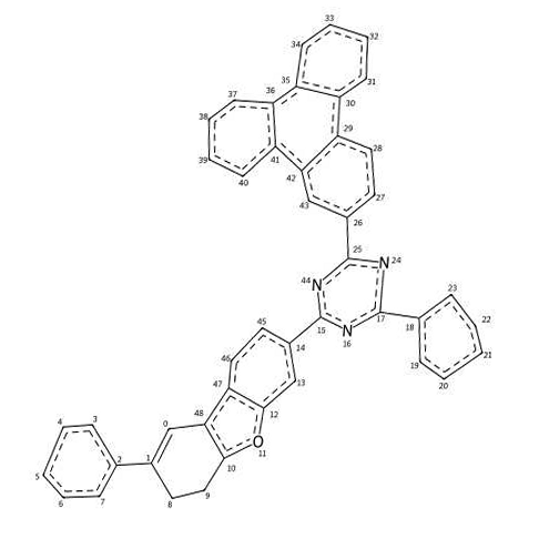 C1=C(c2ccccc2)CCc2oc3cc(-c4nc(-c5ccccc5)nc(-c5ccc6c7ccccc7c7ccccc7c6c5)n4)ccc3c21